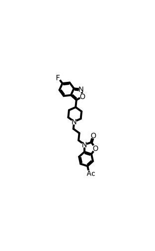 CC(=O)c1ccc2c(c1)oc(=O)n2CCCN1CCC(c2onc3cc(F)ccc23)CC1